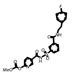 COC(=O)Oc1ccc(C(=O)NS(=O)(=O)c2cccc(C(=O)NCCc3ccc(F)cc3)c2)cn1